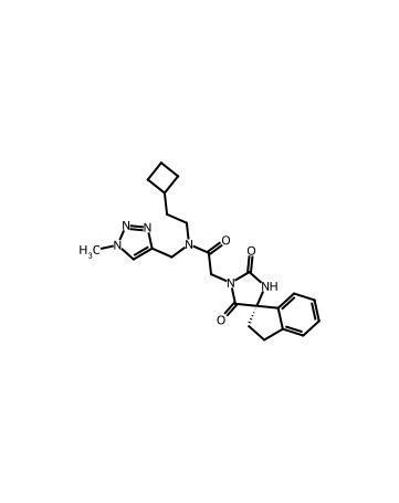 Cn1cc(CN(CCC2CCC2)C(=O)CN2C(=O)N[C@]3(CCc4ccccc43)C2=O)nn1